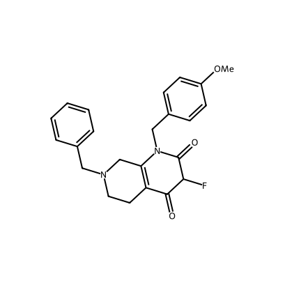 COc1ccc(CN2C(=O)C(F)C(=O)C3=C2CN(Cc2ccccc2)CC3)cc1